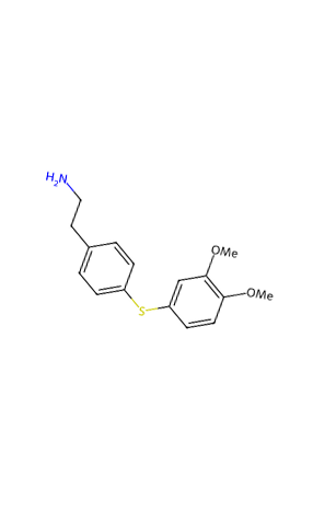 COc1ccc(Sc2ccc(CCN)cc2)cc1OC